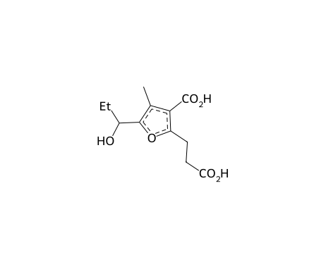 CCC(O)c1oc(CCC(=O)O)c(C(=O)O)c1C